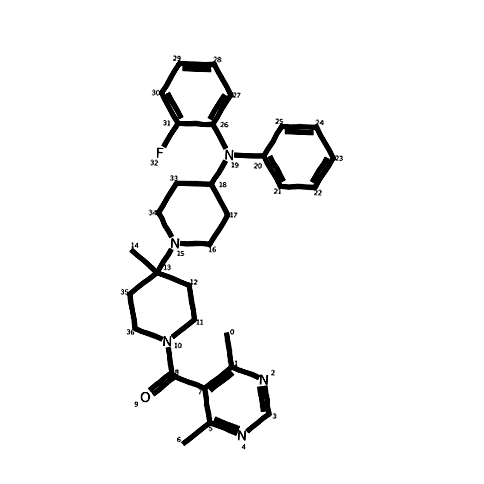 Cc1ncnc(C)c1C(=O)N1CCC(C)(N2CCC(N(c3ccccc3)c3ccccc3F)CC2)CC1